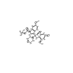 COc1ccc2c(C(C#N)(Cc3ccc(Cl)cc3OC)N3CCOCC3)cn(C(=O)OC(C)(C)C)c2c1